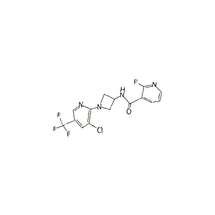 O=C(NC1CN(c2ncc(C(F)(F)F)cc2Cl)C1)c1cccnc1F